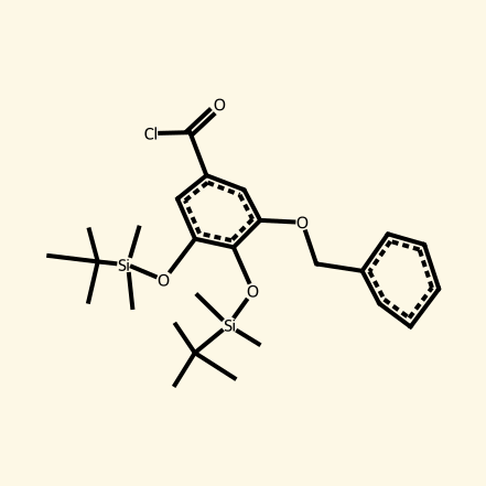 CC(C)(C)[Si](C)(C)Oc1cc(C(=O)Cl)cc(OCc2ccccc2)c1O[Si](C)(C)C(C)(C)C